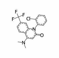 CN(C)c1cc(=O)n(-c2ccccc2Cl)c2cc(C(F)(F)F)ccc12